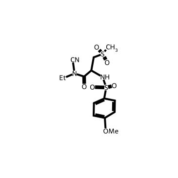 CCN(C#N)C(=O)C(CS(C)(=O)=O)NS(=O)(=O)c1ccc(OC)cc1